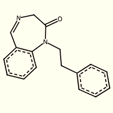 O=C1CN=Cc2ccccc2N1CCc1ccccc1